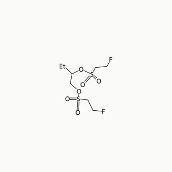 CCC(COS(=O)(=O)CCF)OS(=O)(=O)CCF